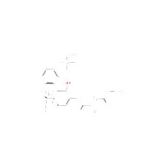 C[C@H](NC(=O)OC(C)(C)C)C(=O)OC1=CC[C@]2(O)C3Cc4ccc(O[Si](C)(C)C(C)(C)C)c5c4[C@@]2(CCN3C)[C@H]1O5